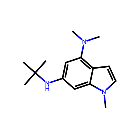 CN(C)c1cc(NC(C)(C)C)cc2c1ccn2C